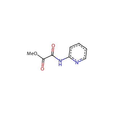 COC(=O)C(=O)Nc1ccccn1